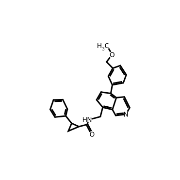 COCc1cccc(-c2ccc(CNC(=O)C3CC3c3ccccc3)c3cnccc23)c1